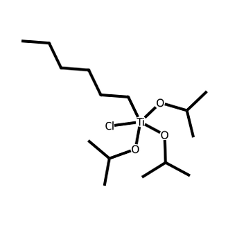 CCCCC[CH2][Ti]([Cl])([O]C(C)C)([O]C(C)C)[O]C(C)C